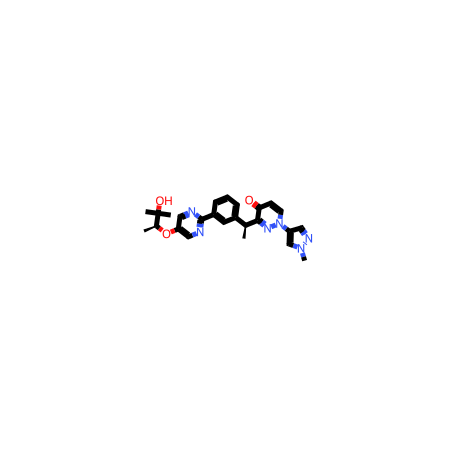 C[C@@H](c1cccc(-c2ncc(O[C@@H](C)C(C)(C)O)cn2)c1)c1nn(-c2cnn(C)c2)ccc1=O